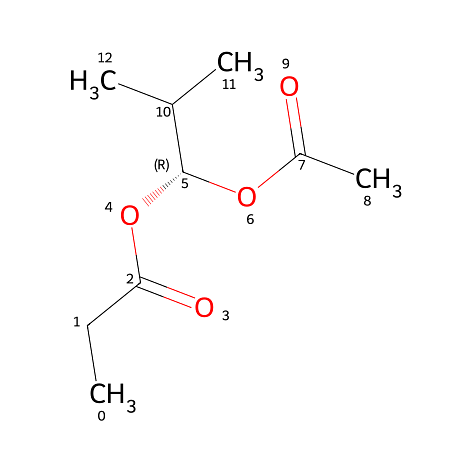 CCC(=O)O[C@@H](OC(C)=O)C(C)C